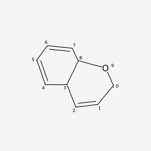 [CH]1C=CC2C=CC=CC2O1